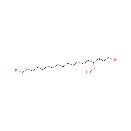 OCC=CC(CO)CCCCCCCCCCCCCCO